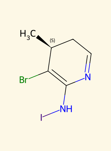 C[C@H]1CC=NC(NI)=C1Br